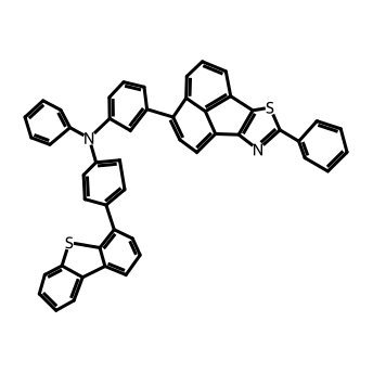 c1ccc(-c2nc3c(s2)-c2cccc4c(-c5cccc(N(c6ccccc6)c6ccc(-c7cccc8c7sc7ccccc78)cc6)c5)ccc-3c24)cc1